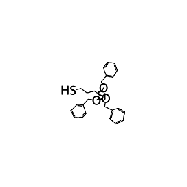 SCCC[Si](OCc1ccccc1)(OCc1ccccc1)OCc1ccccc1